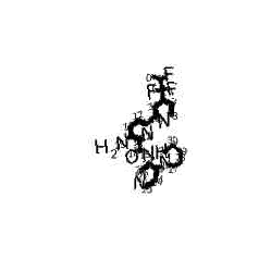 CC(F)C(F)(F)c1ccnc(-c2ccc(N)c(C(=O)Nc3cnccc3N3CCCCC3)n2)c1